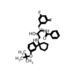 CC(C)(C)Oc1cccc(C2(NC[C@H](O)[C@H](Cc3cc(F)cc(F)c3)NC(=O)c3ccccc3)CCCCC2)c1